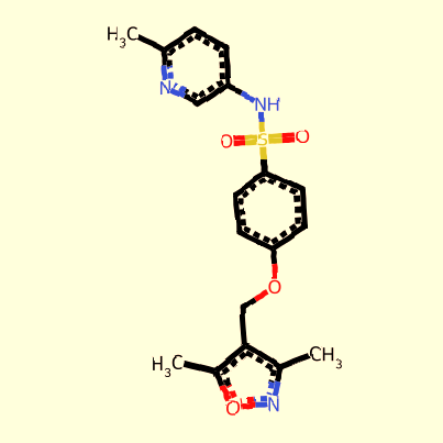 Cc1ccc(NS(=O)(=O)c2ccc(OCc3c(C)noc3C)cc2)cn1